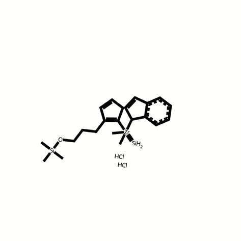 C[Si](C)(C)OCCCC1=[C]([Zr]([CH3])([CH3])(=[SiH2])[CH]2C=Cc3ccccc32)CC=C1.Cl.Cl